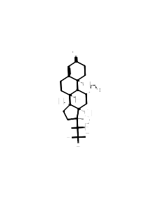 C[C@]12CCC(=O)C=C1CC[C@H]1[C@@H]3CC[C@@](O)(C(F)(F)C(F)(F)F)[C@@]3(C)C[C@H](O)[C@@]12F